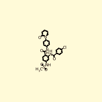 CS(=O)(=O)Nc1ccc(C(=O)Nc2ccc(-n3ccccc3=O)cc2)c(NC(=O)c2ccc(Cl)cc2)c1